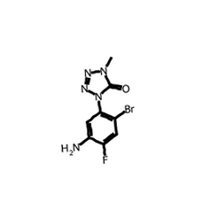 Cn1nnn(-c2cc(N)c(F)cc2Br)c1=O